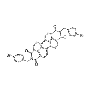 O=C1c2ccc3c4ccc5c6c(ccc(c7ccc(c2c37)C(=O)N1Cc1ccc(Br)cc1)c64)C(=O)N(Cc1ccc(Br)cc1)C5=O